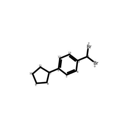 BrC(Br)c1ccc(C2CCCC2)cc1